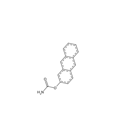 NC(=O)Oc1ccc2cc3ccccc3cc2c1